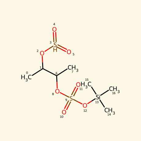 CC(O[SH](=O)=O)C(C)OS(=O)(=O)O[Si](C)(C)C